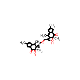 CC1=CC2=C(C)[C@]3(C[C@H]3COC[C@@H]3C[C@]34C(C)=C3C=C(C)C=C3C(=O)[C@]4(C)O)[C@@](C)(O)C(=O)C2=C1